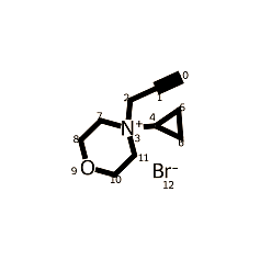 C#CC[N+]1(C2CC2)CCOCC1.[Br-]